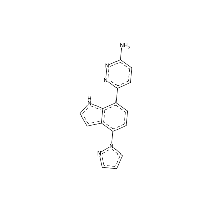 Nc1ccc(-c2ccc(-n3cccn3)c3cc[nH]c23)nn1